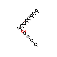 Cc1ccc(CCO)cc1.Cc1ccccc1.Cc1ccccc1.Cc1ccccc1.Cc1ccccc1.Cc1ccccc1.Cc1ccccc1.Cc1ccccc1.Cc1ccccc1.Cc1ccccc1.Cc1ccccc1.Cc1ccccc1